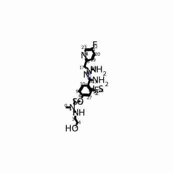 CN(NCCO)SOc1ccc(/C(N)=N/N(N)Cc2ccc(F)cn2)c(F)c1.S